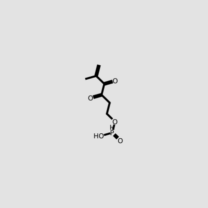 C=C(C)C(=O)C(=O)CCO[PH](=O)O